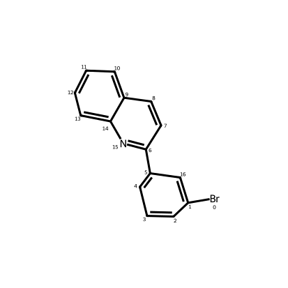 Brc1cccc(-c2ccc3ccccc3n2)c1